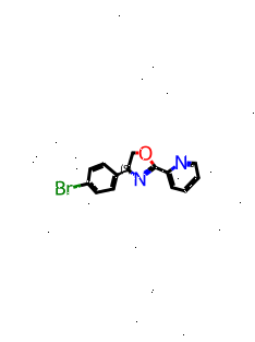 Brc1ccc([C@H]2COC(c3ccccn3)=N2)cc1